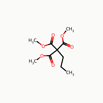 CCCC(C(=O)OC)(C(=O)OC)C(=O)OC